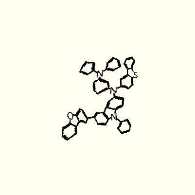 c1ccc(N(c2ccccc2)c2cccc(N(c3ccc4sc5ccccc5c4c3)c3ccc4c(c3)c3cc(-c5ccc6oc7ccccc7c6c5)ccc3n4-c3ccccc3)c2)cc1